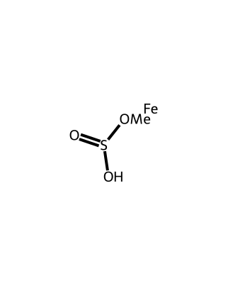 COS(=O)O.[Fe]